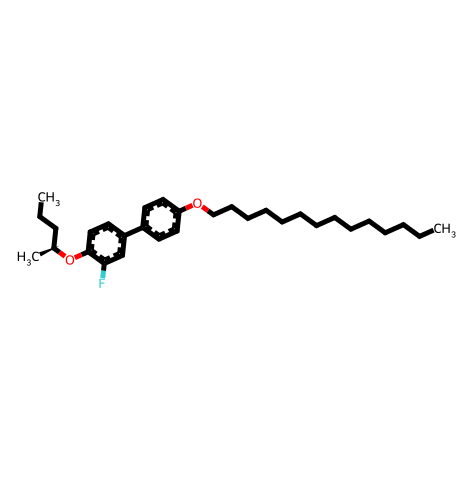 CCCCCCCCCCCCCCOc1ccc(-c2ccc(O[C@@H](C)CCC)c(F)c2)cc1